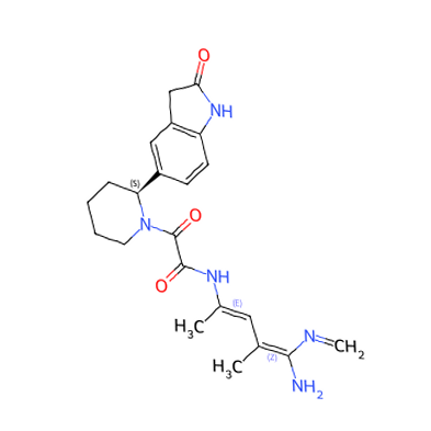 C=N/C(N)=C(C)\C=C(/C)NC(=O)C(=O)N1CCCC[C@H]1c1ccc2c(c1)CC(=O)N2